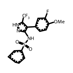 COc1ccc(-c2c(NS(=O)(=O)c3ccccc3)n[nH]c2C(F)(F)F)cc1F